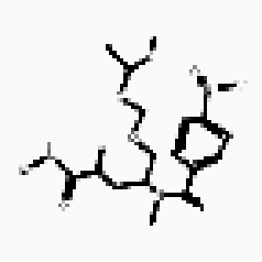 COC(C)OCOCC(CC(C)C(=O)NO)N(C)C(=O)c1ccc([N+](=O)[O-])cc1